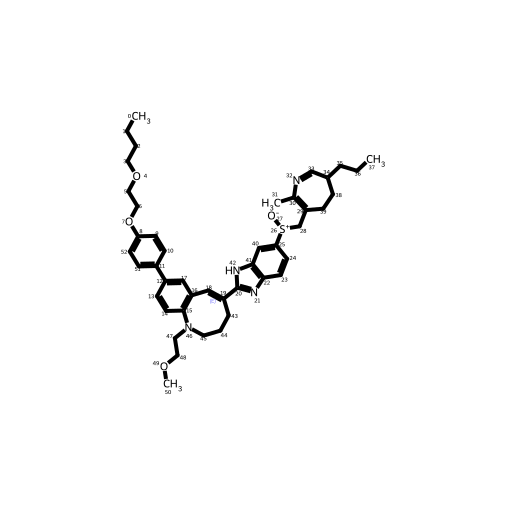 CCCCOCCOc1ccc(-c2ccc3c(c2)/C=C(/c2nc4ccc([S+]([O-])CC5=C(C)N=CC(CCC)CC5)cc4[nH]2)CCCN3CCOC)cc1